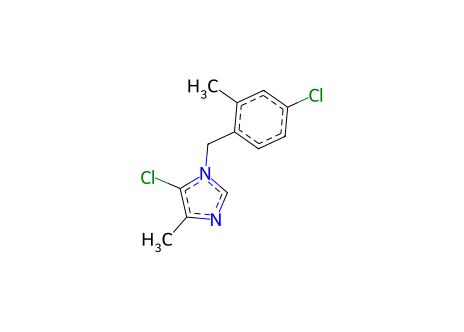 Cc1cc(Cl)ccc1Cn1cnc(C)c1Cl